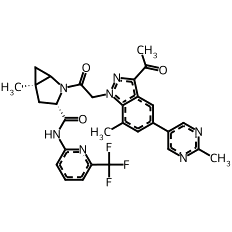 CC(=O)c1nn(CC(=O)N2C3C[C@]3(C)C[C@H]2C(=O)Nc2cccc(C(F)(F)F)n2)c2c(C)cc(-c3cnc(C)nc3)cc12